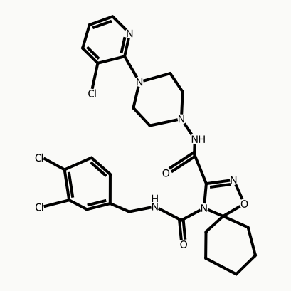 O=C(NN1CCN(c2ncccc2Cl)CC1)C1=NOC2(CCCCC2)N1C(=O)NCc1ccc(Cl)c(Cl)c1